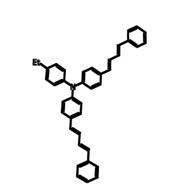 CCc1ccc(N(c2ccc(/C=C/C=C/c3ccccc3)cc2)c2ccc(/C=C/C=C/c3ccccc3)cc2)cc1